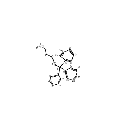 COCCCSC(c1ccccc1)(c1ccccc1)c1ccccc1